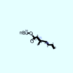 C=C/C=C/C(C)=C/C(=O)OCCCC